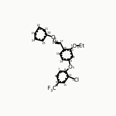 CCOc1cc(Oc2ccc(C(F)(F)F)cc2Cl)ccc1C=NOc1ccccc1